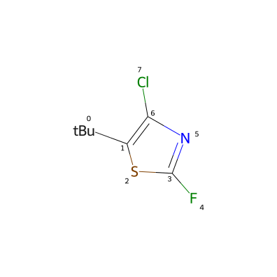 CC(C)(C)c1sc(F)nc1Cl